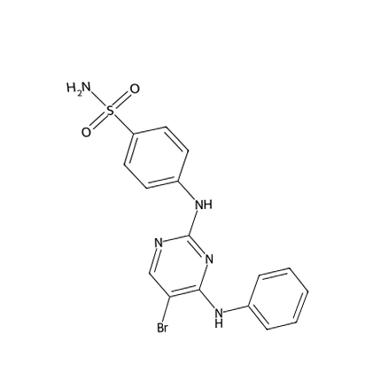 NS(=O)(=O)c1ccc(Nc2ncc(Br)c(Nc3ccccc3)n2)cc1